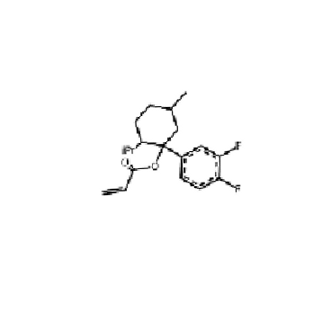 C=CC(=O)OC1(c2ccc(F)c(F)c2)CC(C)CCC1C(C)C